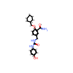 NC(=O)c1cc(CNC(=O)Nc2ccc(O)cc2)ccc1OCC1CCCCC1